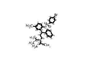 Cc1ccc(OS(=O)(=O)c2ccc(Br)cc2)c(C(CCN(C(C)C)C(C)C)c2ccccc2)c1